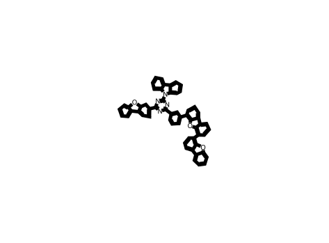 C1=C(c2nc(-c3cccc(-c4cccc5c4oc4c(-c6cccc7c6oc6ccccc67)cccc45)c3)nc(-n3c4ccccc4c4ccccc43)n2)CC2Oc3ccccc3C2=C1